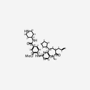 C=CCC1CN(C2CCCC2)c2nc(Nc3ccc(C(=O)NC4CCNCC4)cc3OC)ncc2N(C)C1=O